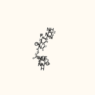 C[C@@H](CCCn1ccc2cc(-c3nccc(N)n3)c(F)cc2c1=O)Nc1cn[nH]c(=O)c1C(F)(F)F